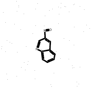 O=Nc1cnc2ccccc2c1